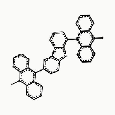 Fc1c2ccccc2c(-c2ccc3sc4c(-c5c6ccccc6c(F)c6ccccc56)cccc4c3c2)c2ccccc12